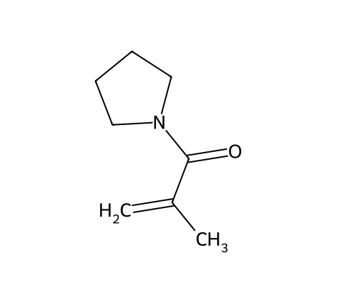 C=C(C)C(=O)N1CCCC1